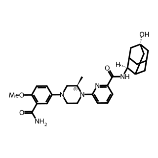 COc1ccc(N2CCN(c3cccc(C(=O)N[C@H]4C5CC6CC4C[C@](O)(C6)C5)n3)[C@H](C)C2)cc1C(N)=O